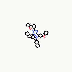 c1ccc2cc3c(cc2c1)c1ccccc1n3-c1cc2oc3ccccc3c2cc1-c1nc(-c2cccc3ccccc23)nc(-c2cccc3c2oc2ccccc23)n1